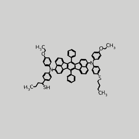 CCCCSc1ccc(N(c2ccc(OCC)cc2)c2ccc3c4c(-c5ccccc5)c5c6cccc7c(N(c8ccc(OCC)cc8)c8ccc(C(S)CCC)cc8)ccc(c5c(-c5ccccc5)c4c4cccc2c43)c76)cc1